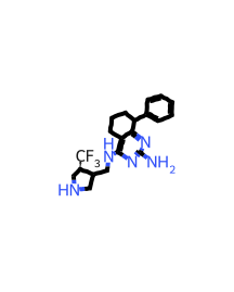 Nc1nc(NCC2CNC[C@@H]2C(F)(F)F)c2c(n1)C(c1ccccc1)CCC2